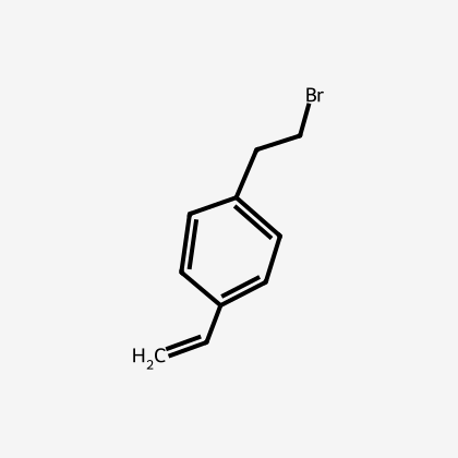 C=Cc1ccc(CCBr)cc1